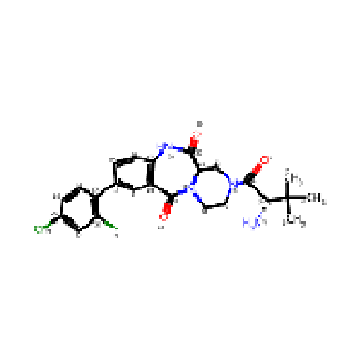 CC(C)(C)[C@H](N)C(=O)N1CCN2C(=O)c3cc(-c4ccc(Cl)cc4F)ccc3NC(=O)C2C1